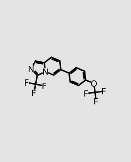 FC(F)(F)Oc1ccc(-c2ccc3cnc(C(F)(F)F)n3c2)cc1